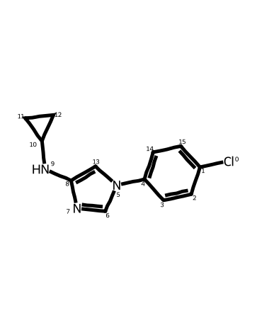 Clc1ccc(-n2cnc(NC3CC3)c2)cc1